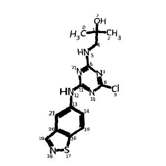 CC(C)(O)CNc1nc(Cl)nc(Nc2ccc3sncc3c2)n1